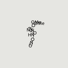 COc1ccc(-c2ccnc3cc(C(=O)NCc4ccc(N5CCOCC5)cc4)nn23)cc1OC